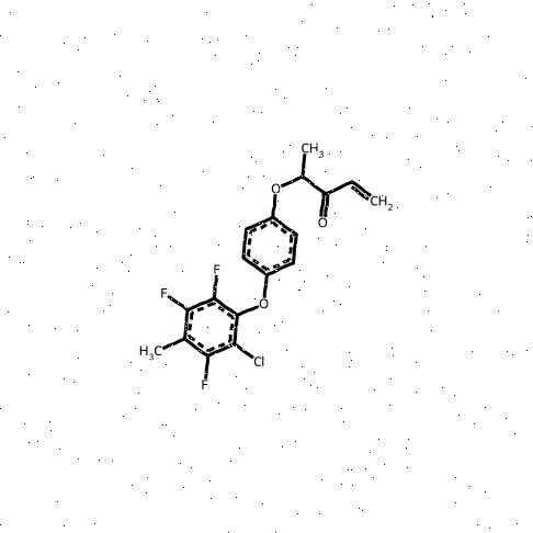 C=CC(=O)C(C)Oc1ccc(Oc2c(F)c(F)c(C)c(F)c2Cl)cc1